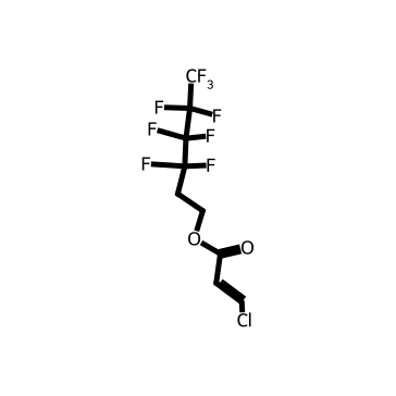 O=C(C=CCl)OCCC(F)(F)C(F)(F)C(F)(F)C(F)(F)F